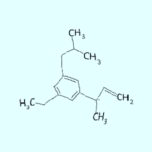 C=C[C](C)c1cc(CC)cc(CC(C)C)c1